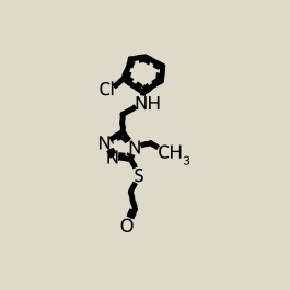 CCn1c(CNc2ccccc2Cl)nnc1SCC=O